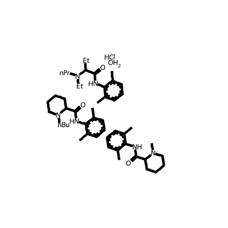 CCCCN1CCCCC1C(=O)Nc1c(C)cccc1C.CCCN(CC)C(CC)C(=O)Nc1c(C)cccc1C.Cc1cccc(C)c1NC(=O)C1CCCCN1C.Cl.O